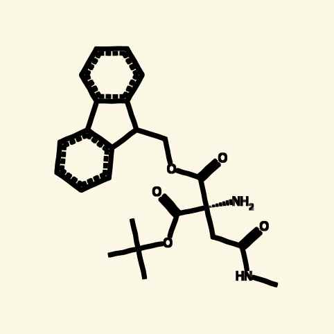 CNC(=O)C[C@](N)(C(=O)OCC1c2ccccc2-c2ccccc21)C(=O)OC(C)(C)C